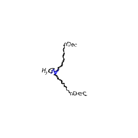 CCCCCCCCCCCCCCCCCCCCCN(C)CCCCCCCCCCCCCCCCCCCC